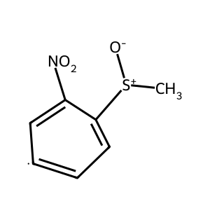 C[S+]([O-])c1cc[c]cc1[N+](=O)[O-]